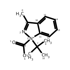 CC1=N[N+](C(=O)[O-])(C(C)(C)C)c2ccccc21